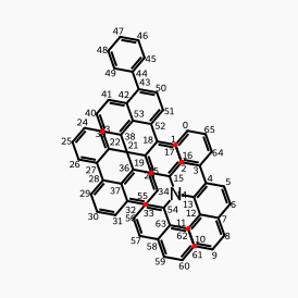 c1ccc(-c2ccc3ccccc3c2N(c2ccc3c(c2)C2(c4ccccc4-c4cccc5cccc2c45)c2cccc4c(-c5ccccc5)ccc-3c24)c2cccc3ccccc23)cc1